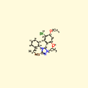 COc1cc(OC)c(-c2nnc(S)n2-c2ccccc2C)cc1Br